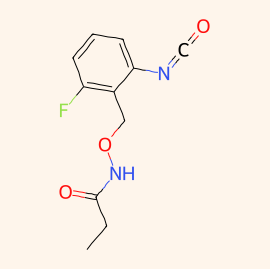 CCC(=O)NOCc1c(F)cccc1N=C=O